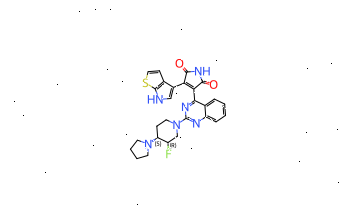 O=C1NC(=O)C(c2c[nH]c3sccc23)=C1c1nc(N2CC[C@H](N3CCCC3)[C@H](F)C2)nc2ccccc12